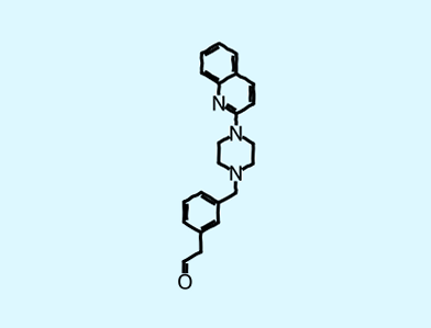 O=CCc1cccc(CN2CCN(c3ccc4ccccc4n3)CC2)c1